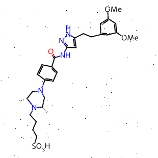 COc1cc(CCc2cc(NC(=O)c3ccc(N4C[C@@H](C)N(CCCCS(=O)(=O)O)[C@@H](C)C4)cc3)n[nH]2)cc(OC)c1